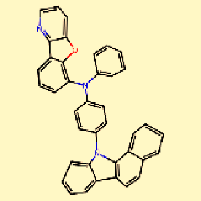 c1ccc(N(c2ccc(-n3c4ccccc4c4ccc5ccccc5c43)cc2)c2cccc3c2oc2cccnc23)cc1